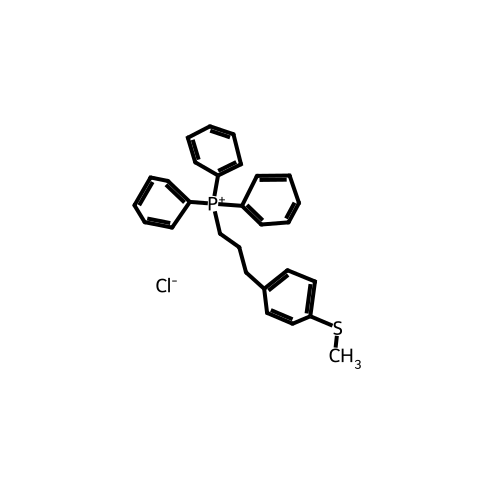 CSc1ccc(CCC[P+](c2ccccc2)(c2ccccc2)c2ccccc2)cc1.[Cl-]